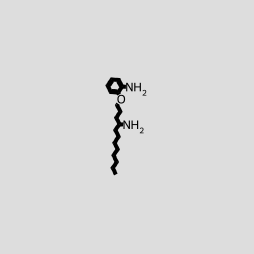 CCCCCCCCC(N)CCCOc1ccccc1N